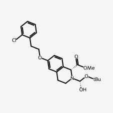 COC(=O)[C@H]1c2ccc(OCCc3ccccc3Cl)cc2CCN1[C@@H](O)OC(C)(C)C